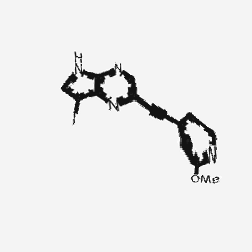 COc1cc(C#Cc2cnc3[nH]cc(I)c3n2)ccn1